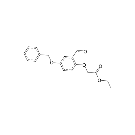 CCOC(=O)COc1ccc(OCc2ccccc2)cc1C=O